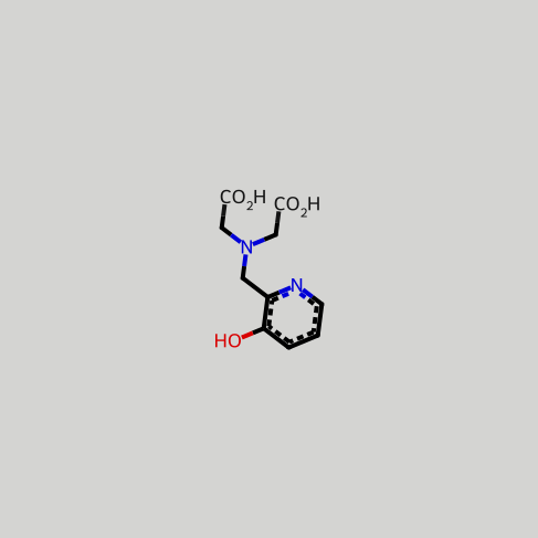 O=C(O)CN(CC(=O)O)Cc1ncccc1O